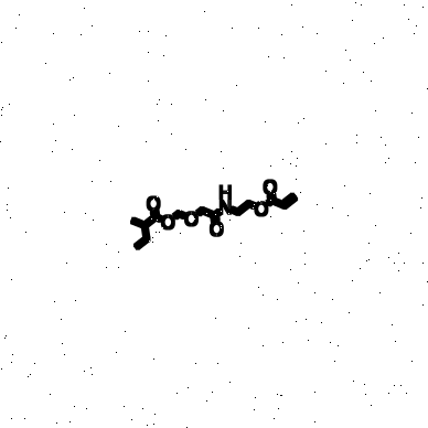 C=CC(=O)OCCNC(=O)COCOC(=O)C(C)CC